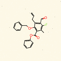 C=CCc1c(C=O)c(F)c(C)c(C(=O)Oc2ccccc2)c1OCc1ccccc1